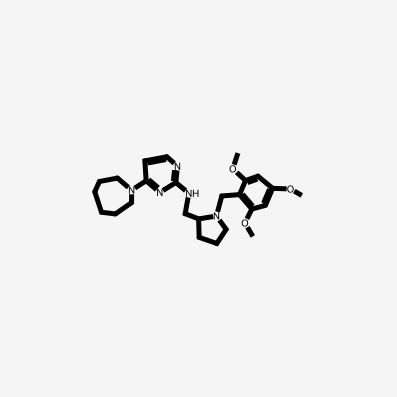 COc1cc(OC)c(CN2CCCC2CNc2nccc(N3CCCCCC3)n2)c(OC)c1